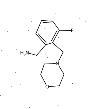 NCc1cccc(F)c1CN1CCOCC1